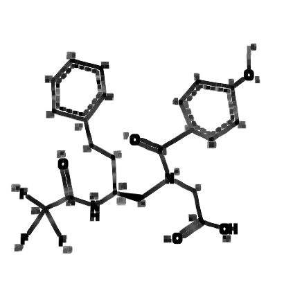 COc1ccc(C(=O)N(CC(=O)O)C[C@H](CCc2ccccc2)NC(=O)C(F)(F)F)cc1